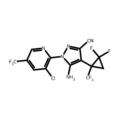 N#Cc1nn(-c2ncc(C(F)(F)F)cc2Cl)c(N)c1C1(C(F)(F)F)CC1(F)F